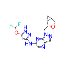 FC(F)Oc1cc(Nc2cnc3cnn(CC4OCC5CC54)c3n2)n[nH]1